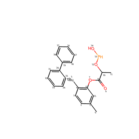 Cc1ccc(C(C)(C)C)c(OC(=O)C(C)OPO)c1.c1ccc(-c2ccccc2)cc1